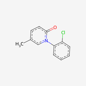 Cc1ccc(=O)n(-c2ccccc2Cl)c1